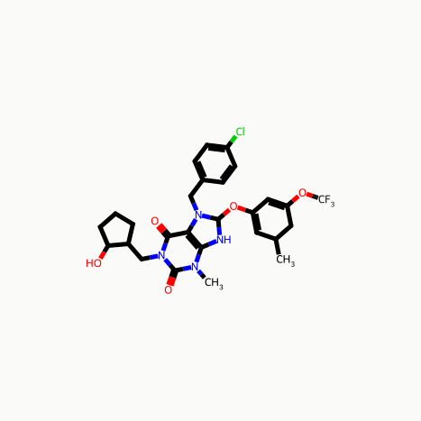 CC1C=C(OC2Nc3c(c(=O)n(CC4CCCC4O)c(=O)n3C)N2Cc2ccc(Cl)cc2)C=C(OC(F)(F)F)C1